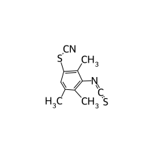 Cc1cc(SC#N)c(C)c(N=C=S)c1C